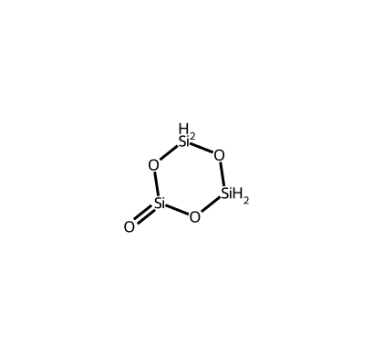 O=[Si]1O[SiH2]O[SiH2]O1